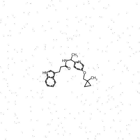 CC(NC(=O)CCc1c[nH]c2ccccc12)c1ccc(OCC2(C)CC2)cn1